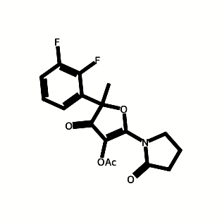 CC(=O)OC1=C(N2CCCC2=O)OC(C)(c2cccc(F)c2F)C1=O